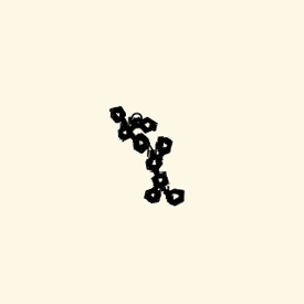 c1ccc(-n2c3ccccc3c3cc(-c4ccc5c(c4)c4ccccc4n5-c4ccc(-c5cccc6c5c5c7ccccc7oc5n6-c5ccccc5)cc4)ccc32)cc1